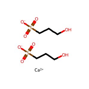 O=S(=O)([O-])CCCO.O=S(=O)([O-])CCCO.[Ca+2]